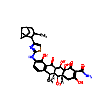 CC1CC2CC3CC3(C2)C1c1csc(Nc2ccc3c(c2O)C(=O)C2=C(O)[C@]4(O)C(=O)C(C(N)=O)=C(O)C[C@@H]4[C@@H](O)[C@@H]2[C@H]3C)n1